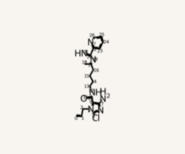 C=CCn1c(Cl)nc(N)c1C(=O)NCCCC/C(C)=N/C(=N)c1ccccn1